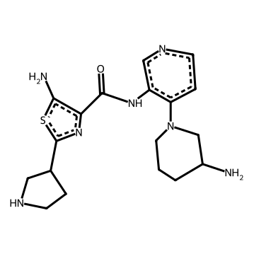 Nc1sc(C2CCNC2)nc1C(=O)Nc1cnccc1N1CCCC(N)C1